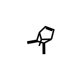 C=C1C(=C)C2C=CC1C2C